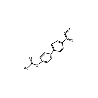 CC(=O)C(=O)Oc1ccc(-c2ccc(P(=O)=S=S)cc2)cc1